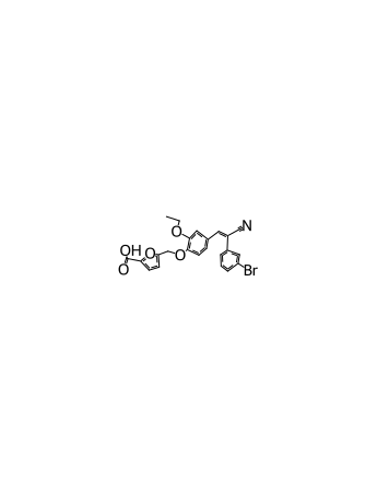 CCOc1cc(/C=C(/C#N)c2cccc(Br)c2)ccc1OCc1ccc(C(=O)O)o1